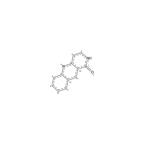 O=c1[nH]ccc2nc3ccccc3cc12